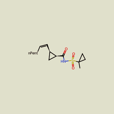 CCCCC/C=C\[C@@H]1C[C@@H]1C(=O)NS(=O)(=O)C1(C)CC1